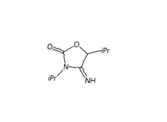 CC(C)C1OC(=O)N(C(C)C)C1=N